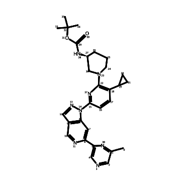 Cc1cncc(-c2cc3c(cn2)cnn3-c2ccc(C3CC3)c(N3CCC[C@H](NC(=O)OC(C)(C)C)C3)n2)n1